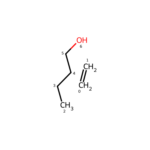 C=C.CCCCO